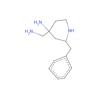 NCC1(N)CCNC(Cc2ccccc2)C1